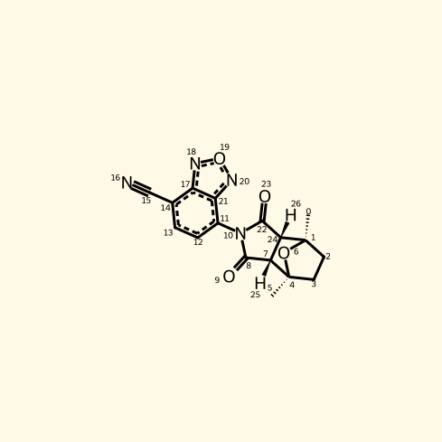 C[C@]12CC[C@](C)(O1)[C@@H]1C(=O)N(c3ccc(C#N)c4nonc34)C(=O)[C@@H]12